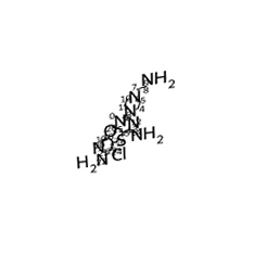 Cn1c(N2CCN(CCN)CC2)nc(N)c(Sc2ccnc(N)c2Cl)c1=O